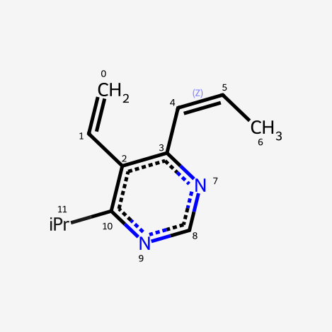 C=Cc1c(/C=C\C)ncnc1C(C)C